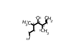 C=CC(C)C([O])C(C)CCI